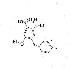 CCOc1cc([N+](=[N-])S(=O)(=O)O)c(OCC)cc1Sc1ccc(C)cc1